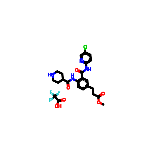 COC(=O)CCc1ccc(NC(=O)C2CCNCC2)c(C(=O)Nc2ccc(Cl)cn2)c1.O=C(O)C(F)(F)F